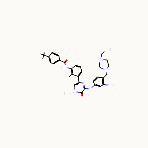 CCN1CCN(Cc2ccc(Nc3nc(-c4cccc(NC(=O)c5ccc(C(C)(C)C)cc5)c4C)cn(C)c3=O)cc2N)CC1